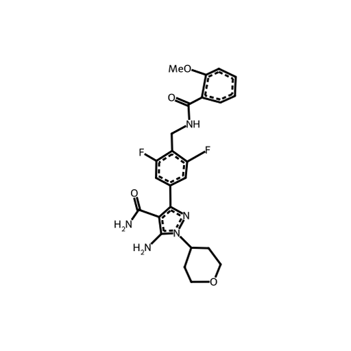 COc1ccccc1C(=O)NCc1c(F)cc(-c2nn(C3CCOCC3)c(N)c2C(N)=O)cc1F